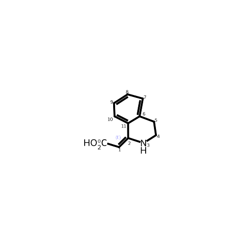 O=C(O)/C=C1/NCCc2ccccc21